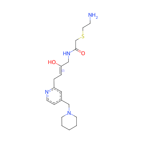 NCCSCC(=O)NC/C(O)=C/Cc1cc(CN2CCCCC2)ccn1